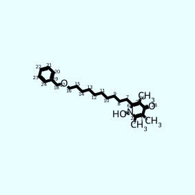 Cc1c(C)n(O)c(CCCCCCCCCCOCc2ccccc2)c(C)c1=O